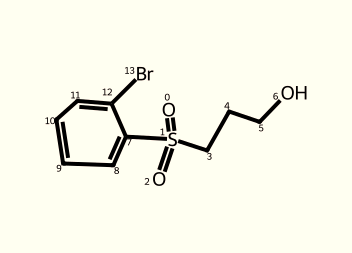 O=S(=O)(CCCO)c1ccccc1Br